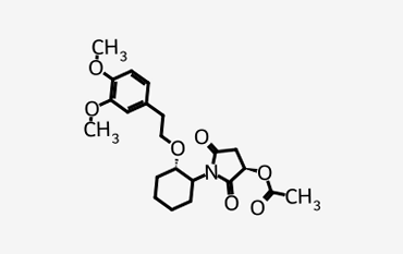 COc1ccc(CCO[C@H]2CCCCC2N2C(=O)C[C@@H](OC(C)=O)C2=O)cc1OC